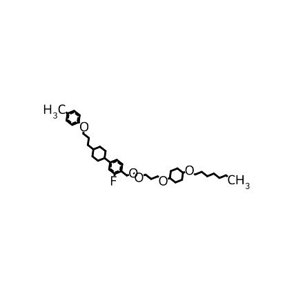 CCCCCCCOC1CCC(OCCCOOCc2ccc(C3CCC(CCCOc4ccc(C)cc4)CC3)cc2F)CC1